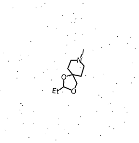 CCC1OCC2(CCN(I)CC2)O1